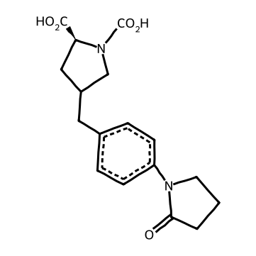 O=C(O)[C@@H]1CC(Cc2ccc(N3CCCC3=O)cc2)CN1C(=O)O